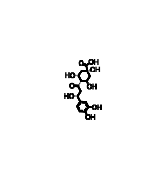 O=C(C[C@@H](O)c1ccc(O)c(O)c1)[C@H]1[C@H](O)C[C@](O)(C(=O)O)C[C@H]1O